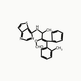 Cc1ccccc1/C(=C(\OC=O)C(C)Nc1ncnc2ccsc12)c1ccccc1